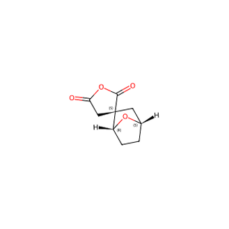 O=C1C[C@]2(C[C@@H]3CC[C@H]2O3)C(=O)O1